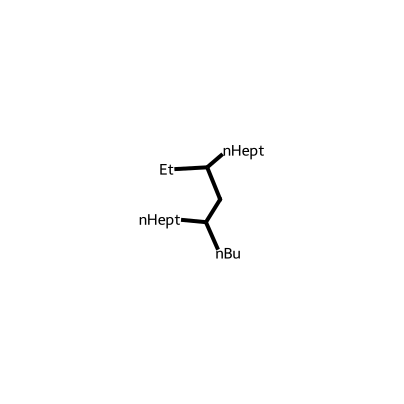 CCCCCCCC(CC)CC(CCCC)CCCCCCC